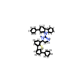 CN1C(n2c3ccccc3c3ccc(-c4ccccc4)cc32)=NC=CC1c1cccc2c1sc1c(-c3ccccc3)cccc12